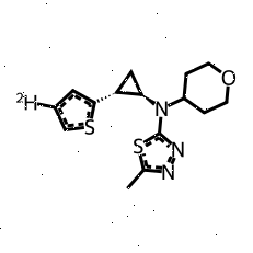 [2H]c1csc([C@@H]2C[C@H]2N(c2nnc(C)s2)C2CCOCC2)c1